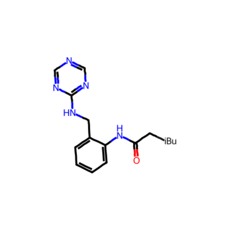 CCC(C)CC(=O)Nc1ccccc1CNc1ncncn1